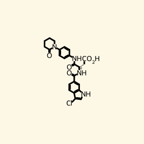 O=C(O)C[C@H](NC(=O)c1ccc2c(Cl)c[nH]c2c1)C(=O)Nc1ccc(N2CCCCC2=O)cc1